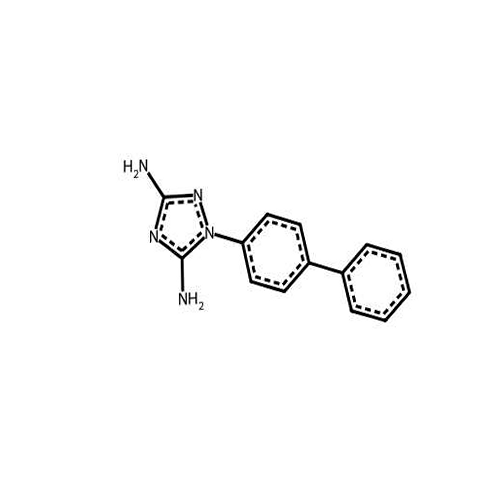 Nc1nc(N)n(-c2ccc(-c3ccccc3)cc2)n1